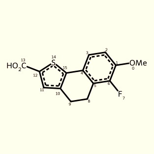 COc1ccc2c(c1F)CCc1cc(C(=O)O)sc1-2